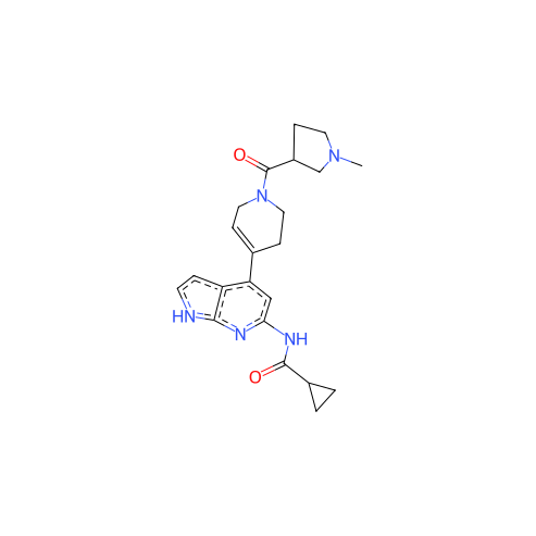 CN1CCC(C(=O)N2CC=C(c3cc(NC(=O)C4CC4)nc4[nH]ccc34)CC2)C1